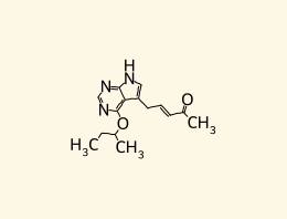 CCC(C)Oc1ncnc2[nH]cc(C/C=C/C(C)=O)c12